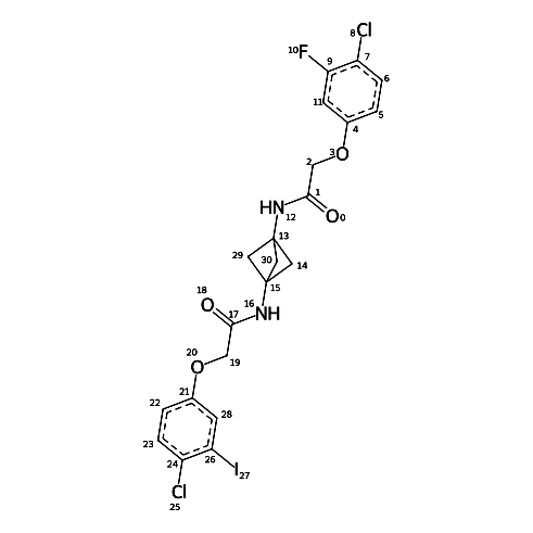 O=C(COc1ccc(Cl)c(F)c1)NC12CC(NC(=O)COc3ccc(Cl)c(I)c3)(C1)C2